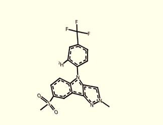 [2H]c1cc(C(F)(F)F)ccc1-n1c2ccc(S(C)(=O)=O)cc2c2nn(C)cc21